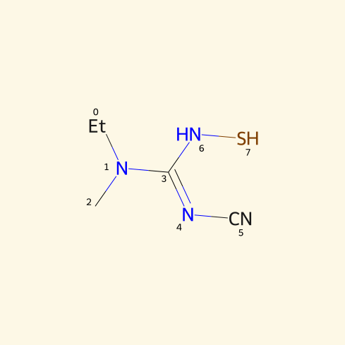 CCN(C)C(=NC#N)NS